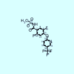 CS(=O)(=O)NC(=O)c1cc(F)c(Oc2ccc(C(F)(F)F)cn2)cc1F